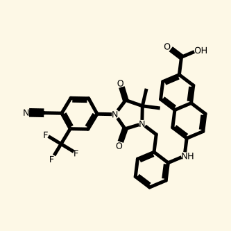 CC1(C)C(=O)N(c2ccc(C#N)c(C(F)(F)F)c2)C(=O)N1Cc1ccccc1Nc1ccc2cc(C(=O)O)ccc2c1